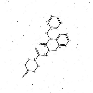 O=C1CCN(C(=O)N[C@@H](Cc2ccccc2)C(=O)OCc2ccccc2)CC1